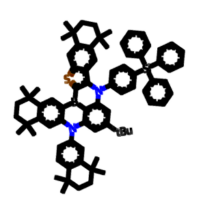 CC(C)(C)c1cc2c3c(c1)N(c1ccc([Si](c4ccccc4)(c4ccccc4)c4ccccc4)cc1)c1c(sc4cc5c(cc14)C(C)(C)CCC5(C)C)B3c1cc3c(cc1N2c1ccc2c(c1)C(C)(C)CCC2(C)C)C(C)(C)CCC3(C)C